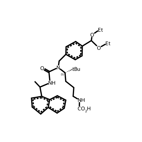 CCOC(OCC)c1ccc(CN(C(=O)NC(C)c2cccc3ccccc23)[C@@H](CCCNC(=O)O)C(C)(C)C)cc1